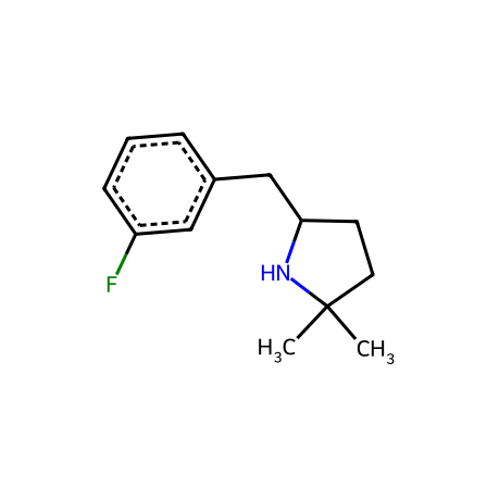 CC1(C)CCC(Cc2cccc(F)c2)N1